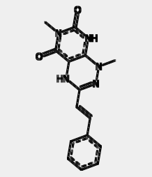 CN1N=C(/C=C/c2ccccc2)Nc2c1[nH]c(=O)n(C)c2=O